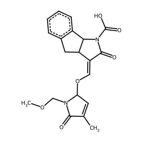 COCN1C(=O)C(C)=CC1OC=C1C(=O)N(C(=O)O)C2c3ccccc3CC12